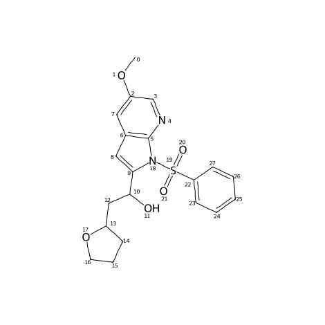 COc1cnc2c(c1)cc(C(O)CC1CCCO1)n2S(=O)(=O)c1ccccc1